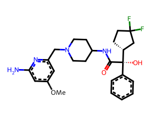 COc1cc(N)nc(CN2CCC(NC(=O)[C@](O)(c3ccccc3)[C@@H]3CCC(F)(F)C3)CC2)c1